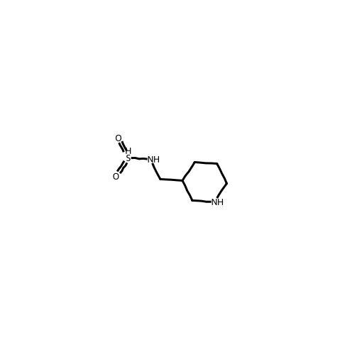 O=[SH](=O)NCC1CCCNC1